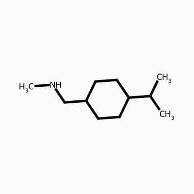 CNCC1CCC(C(C)C)CC1